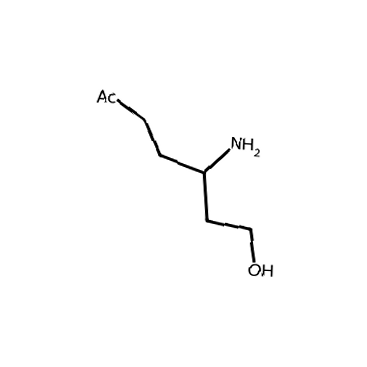 CC(=O)CCC(N)CCO